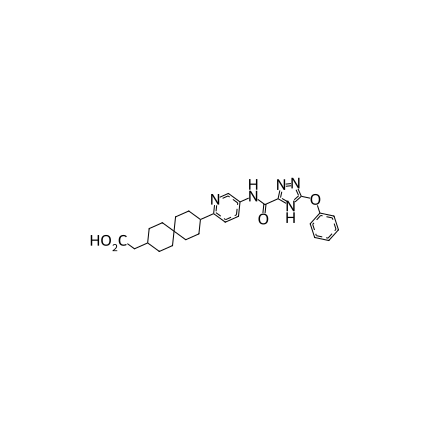 O=C(O)CC1CCC2(CC1)CCC(c1ccc(NC(=O)c3nnc(Oc4ccccc4)[nH]3)cn1)CC2